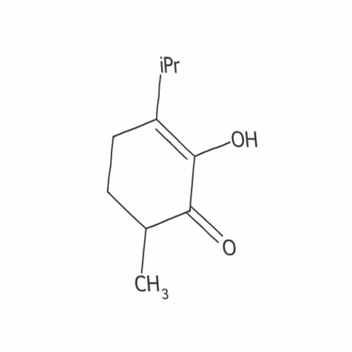 CC(C)C1=C(O)C(=O)C(C)CC1